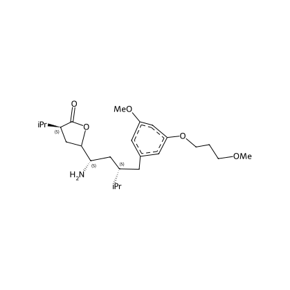 COCCCOc1cc(C[C@@H](C[C@H](N)C2C[C@@H](C(C)C)C(=O)O2)C(C)C)cc(OC)c1